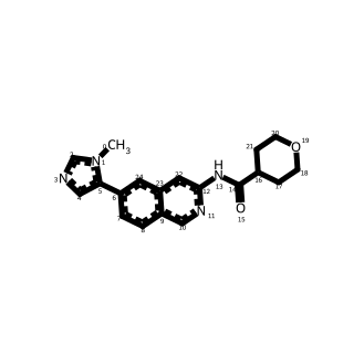 Cn1cncc1-c1ccc2cnc(NC(=O)C3CCOCC3)cc2c1